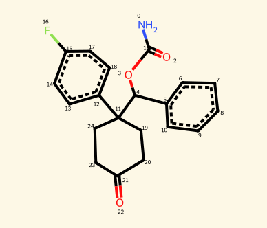 NC(=O)OC(c1ccccc1)C1(c2ccc(F)cc2)CCC(=O)CC1